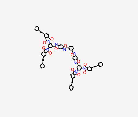 O=C1c2ccc(C#Cc3ccccc3)cc2C(=O)N1c1cc(-c2nc3cc4oc(-c5cccc(-c6nc7cc8oc(-c9cc(N%10C(=O)c%11ccc(C#Cc%12ccccc%12)cc%11C%10=O)cc(N%10C(=O)c%11ccc(C#Cc%12ccccc%12)cc%11C%10=O)c9)nc8cc7o6)c5)nc4cc3o2)cc(N2C(=O)c3ccc(C#Cc4ccccc4)cc3C2=O)c1